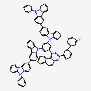 Fc1cccc(-c2cccc(-c3nc(-c4cc(-n5c6ccccc6c6cc(-c7ccc8c(c7)c7ccccc7n8-c7ccccc7)ccc65)cc(-n5c6ccccc6c6cc(-c7ccc8c(c7)c7ccccc7n8-c7ccccc7)ccc65)c4)c4c(ccc5ccccc54)n3)c2)c1